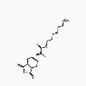 C=C(C)C(=O)OCCCCCCCCCCCCCCCC.O=C1OC(=O)C2CC=CCC12